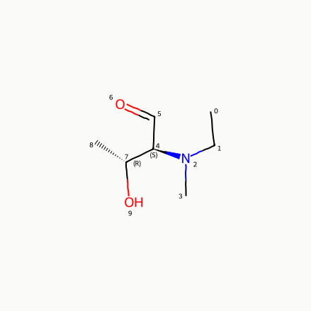 CCN(C)[C@H](C=O)[C@@H](C)O